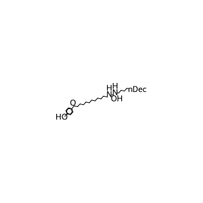 CCCCCCCCCCCCCCNC(O)NCCCCCCCCCCCC(=O)c1ccc(O)cc1